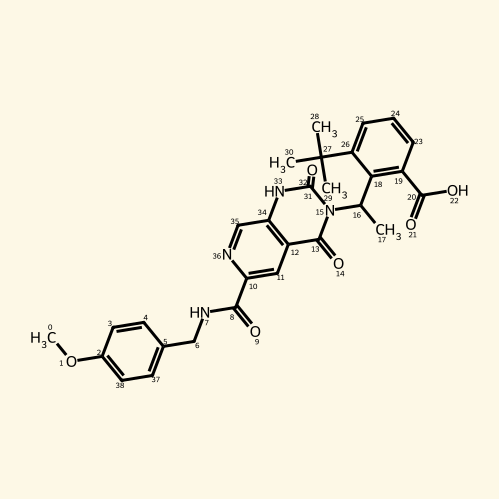 COc1ccc(CNC(=O)c2cc3c(=O)n(C(C)c4c(C(=O)O)cccc4C(C)(C)C)c(=O)[nH]c3cn2)cc1